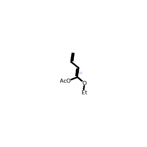 C=C/C=C(/OCC)OC(C)=O